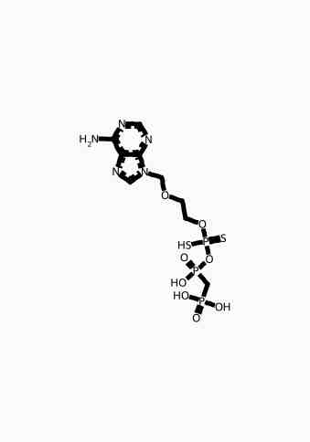 Nc1ncnc2c1ncn2COCCOP(=S)(S)OP(=O)(O)CP(=O)(O)O